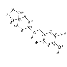 COc1cc(F)c(CC(C)C2=CCC3(CC2)OCCO3)cc1F